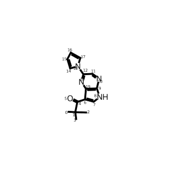 CC(C)(C)C(=O)c1c[nH]c2ncc(-n3cccc3)nc12